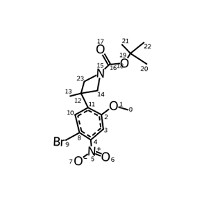 COc1cc([N+](=O)[O-])c(Br)cc1C1(C)CN(C(=O)OC(C)(C)C)C1